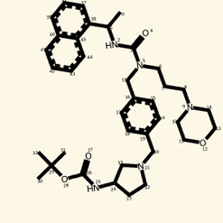 CC(NC(=O)N(CCCN1CCOCC1)Cc1ccc(CN2CCC(NC(=O)OC(C)(C)C)C2)cc1)c1cccc2ccccc12